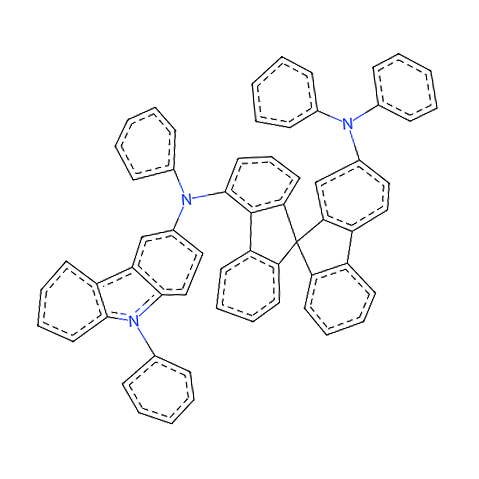 c1ccc(N(c2ccccc2)c2ccc3c(c2)C2(c4ccccc4-3)c3ccccc3-c3c(N(c4ccccc4)c4ccc5c(c4)c4ccccc4n5-c4ccccc4)cccc32)cc1